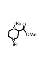 COC(=O)C1CN(C(C)C)CCN1C(C)(C)C